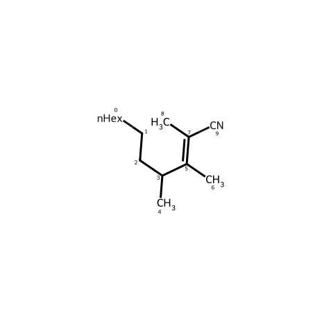 CCCCCCCCC(C)C(C)=C(C)C#N